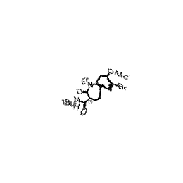 CCN1C(=O)[C@H](C(=O)NC(C)(C)C)CCc2cc(Br)c(OC)cc21